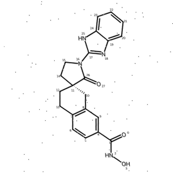 O=C(NO)c1ccc2c(c1)C[C@]1(CC2)CCN(c2nc3ccccc3[nH]2)C1=O